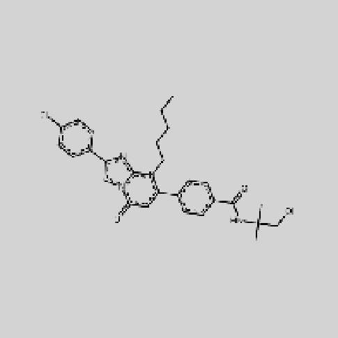 CCCCCn1c(-c2ccc(C(=O)NC(C)(C)CO)cc2)cc(=O)n2cc(-c3ccc(Cl)cc3)nc12